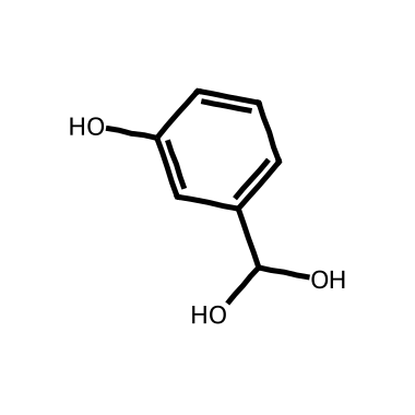 Oc1cccc(C(O)O)c1